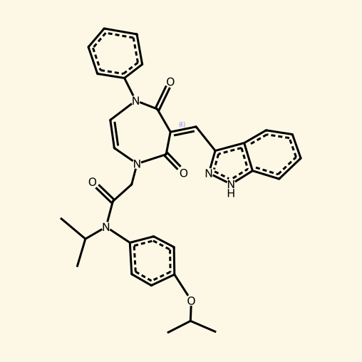 CC(C)Oc1ccc(N(C(=O)CN2C=CN(c3ccccc3)C(=O)/C(=C/c3n[nH]c4ccccc34)C2=O)C(C)C)cc1